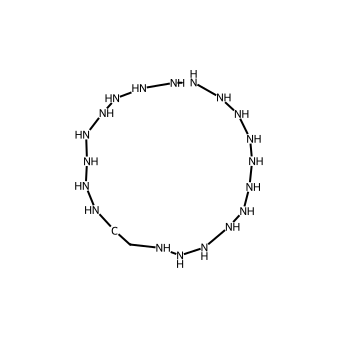 C1CNNNNNNNNNNNNNNNNNNN1